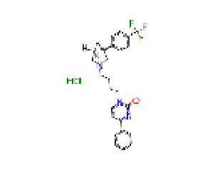 Cl.O=c1nc(-c2ccccc2)ccn1CCCCN1C[C@@H]2C[C@]2(c2ccc(C(F)(F)F)cc2)C1